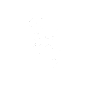 Cc1c(C#N)cccc1C(C)Nc1nnc(C)c2cc(CN3CCN(C4CC4)CC3)c(NC3CCCC3)cc12